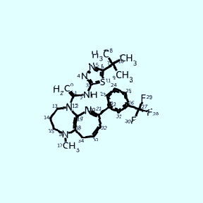 C=C(Nc1nnc(C(C)(C)C)s1)N1CCCN(C)C2=C1N=C(c1cccc(C(F)(F)F)c1)C=CC2